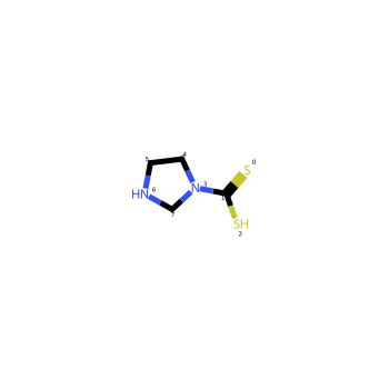 S=C(S)N1CCNC1